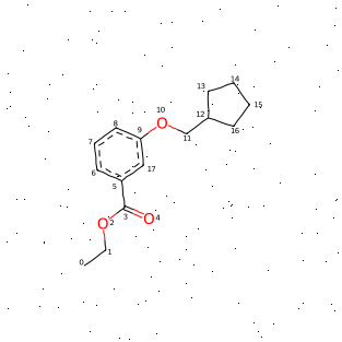 CCOC(=O)c1cccc(OCC2CCCC2)c1